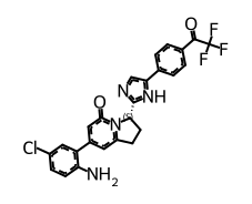 Nc1ccc(Cl)cc1-c1cc2n(c(=O)c1)[C@H](c1ncc(-c3ccc(C(=O)C(F)(F)F)cc3)[nH]1)CC2